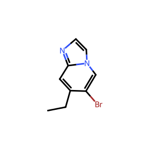 CCc1cc2nccn2cc1Br